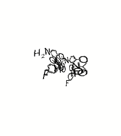 Nc1ccc2c(c1)N(S(=O)(=O)c1ccc(F)cc1)C(CO)CO2.O=[N+]([O-])c1ccc2c(c1)N(S(=O)(=O)c1ccc(F)cc1)C(CO)CO2